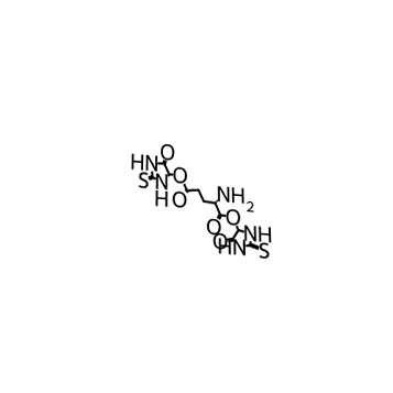 N[C@@H](CCC(=O)OC1NC(=S)NC1=O)C(=O)OC1NC(=S)NC1=O